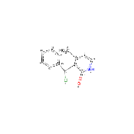 O=C(O)c1cc[nH]c(=O)c1C(Cl)c1ccccc1